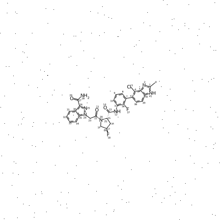 Cc1nc2c(Cl)c(-c3cccc(NC(=O)[C@@H]4C[C@@H](F)CN4C(=O)Cn4nc(C(N)=O)c5ccccc54)c3F)ccc2[nH]1